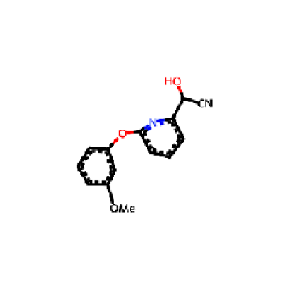 COc1cccc(Oc2cccc(C(O)C#N)n2)c1